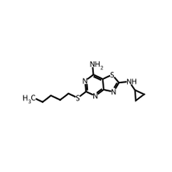 CCCCCSc1nc(N)c2sc(NC3CC3)nc2n1